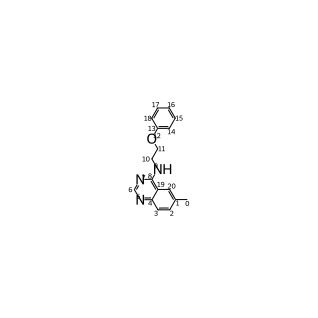 Cc1ccc2ncnc(NCCOc3ccccc3)c2c1